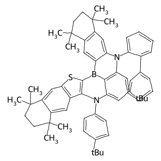 CC(C)(C)c1ccc(N2c3cc(C(C)(C)C)cc4c3B(c3cc5c(cc3N4c3ccccc3-c3ccccc3)C(C)(C)CCC5(C)C)c3sc4cc5c(cc4c32)C(C)(C)CCC5(C)C)cc1